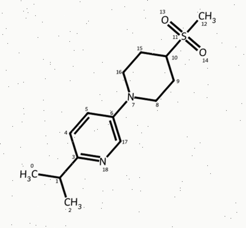 CC(C)c1ccc(N2CCC(S(C)(=O)=O)CC2)cn1